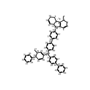 CC1CC=CC2=C1[C@]1(C)CCC=CC1N2c1ccc(-c2ccc(N(C3=CC(C)C(c4ccccc4)C=C3)c3ccc(-c4ccccc4)cc3)cc2)cc1